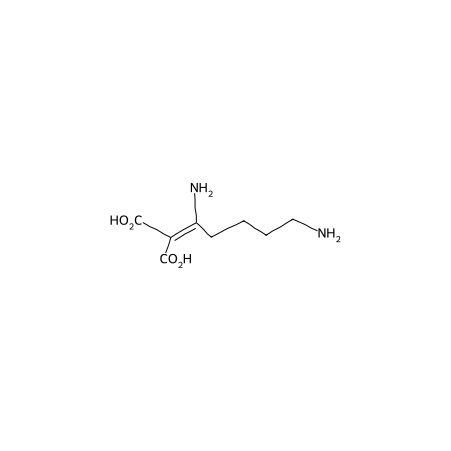 NCCCCC(N)=C(C(=O)O)C(=O)O